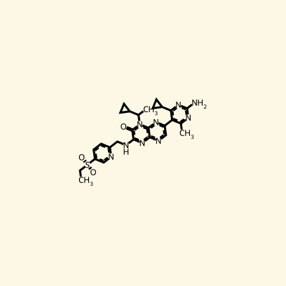 CCS(=O)(=O)c1ccc(CNc2nc3ncc(-c4c(C)nc(N)nc4C4CC4)nc3n(C(C)C3CC3)c2=O)nc1